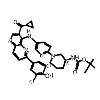 CC(C)(C)OC(=O)N[C@H]1CCCN(c2ccc(Nc3c(C(=O)C4CC4)cnc4ccc(-c5cc(Cl)c(O)c(Cl)c5)nc34)cn2)C1